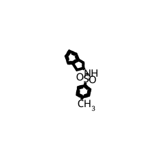 Cc1ccc(S(=O)(=O)NC2Cc3ccccc3C2)cc1